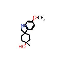 CC1(O)CCC(CN)(c2ccc(OC(F)(F)F)cc2)CC1